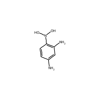 Nc1ccc(N(O)O)c(N)c1